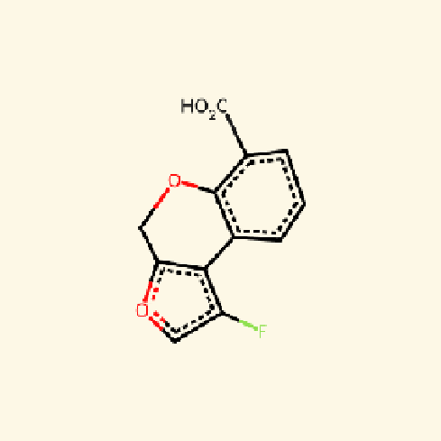 O=C(O)c1cccc2c1OCc1occ(F)c1-2